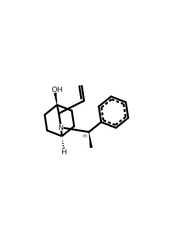 C=CC1N([C@H](C)c2ccccc2)[C@H]2CC[C@@]1(O)CC2